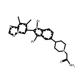 [CH2]C(=O)n1c(-c2cn3ncnc3c(C)c2C)c(C(C)C)c2cc(C3CCN(CC(N)=O)CC3)ccc21